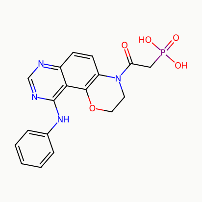 O=C(CP(=O)(O)O)N1CCOc2c1ccc1ncnc(Nc3ccccc3)c21